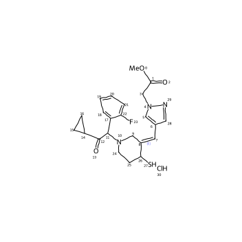 COC(=O)Cn1cc(/C=C2\CN(C(C(=O)C3CC3)c3ccccc3F)CCC2S)cn1.Cl